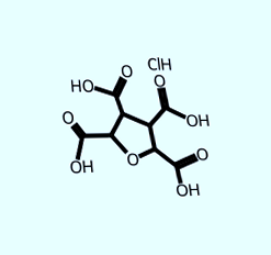 Cl.O=C(O)C1OC(C(=O)O)C(C(=O)O)C1C(=O)O